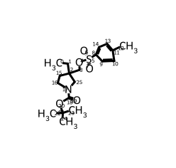 CCC1(COS(=O)(=O)c2ccc(C)cc2)CCN(C(=O)OC(C)(C)C)C1